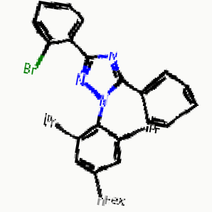 CCCCCCc1cc(C(C)C)c(-n2nc(-c3ccccc3Br)nc2-c2ccccc2)c(C(C)C)c1